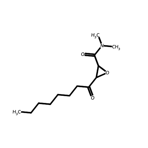 CCCCCCCC(=O)C1OC1C(=O)N(C)C